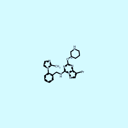 Cc1nccn1-c1ccccc1CNc1nc(O[C@@H]2CCCNC2)nc2c(C(C)C)cnn12